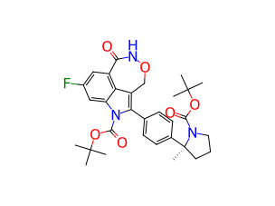 CC(C)(C)OC(=O)N1CCC[C@@]1(C)c1ccc(-c2c3c4c(cc(F)cc4n2C(=O)OC(C)(C)C)C(=O)NOC3)cc1